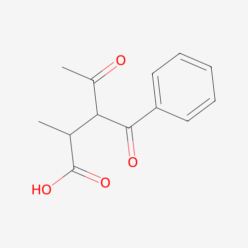 CC(=O)C(C(=O)c1ccccc1)C(C)C(=O)O